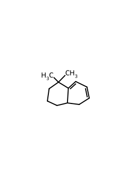 CC1(C)CCCC2CC=CC=C21